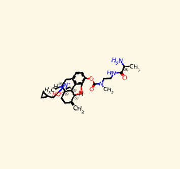 C=C1CC[C@@]2(O)[C@H]3Cc4ccc(OC(=O)N(C)CCNC(=O)[C@H](C)N)c5c4[C@@]2(CC[N+]3(C)CC2CC2)[C@H]1O5